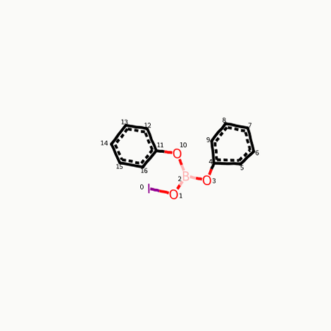 IOB(Oc1ccccc1)Oc1ccccc1